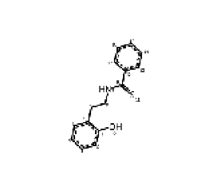 Oc1ccccc1CCNC(=S)c1ccccc1